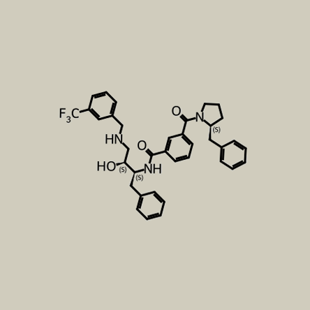 O=C(N[C@@H](Cc1ccccc1)[C@@H](O)CNCc1cccc(C(F)(F)F)c1)c1cccc(C(=O)N2CCC[C@H]2Cc2ccccc2)c1